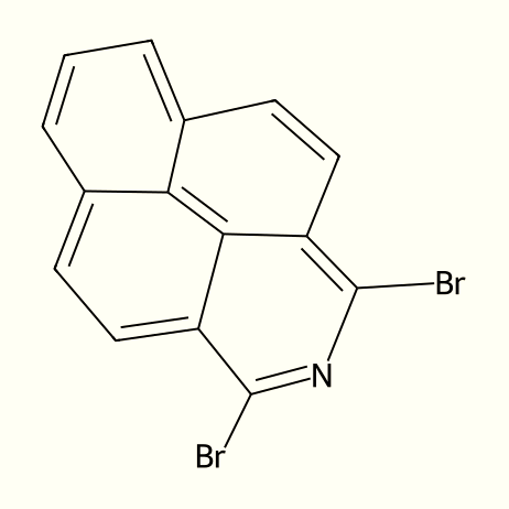 Brc1nc(Br)c2ccc3cccc4ccc1c2c43